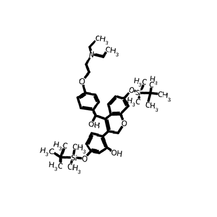 CCN(CC)CCOc1ccc(C(O)C2=C(c3ccc(O[Si](C)(C)C(C)(C)C)cc3O)COc3cc(O[Si](C)(C)C(C)(C)C)ccc32)cc1